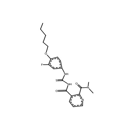 CCCCCOc1ccc(NC(=S)NC(=O)c2cccnc2C(=O)N(C)C)cc1F